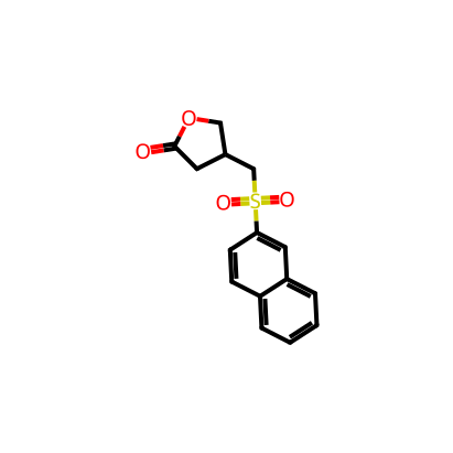 O=C1CC(CS(=O)(=O)c2ccc3ccccc3c2)CO1